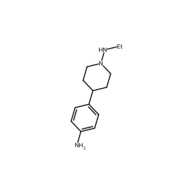 CCNN1CCC(c2ccc(N)cc2)CC1